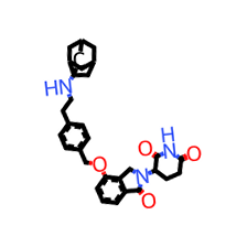 O=C1CCC(N2Cc3c(OCc4ccc(CCNC56CC7CC(CC5C7)C6)cc4)cccc3C2=O)C(=O)N1